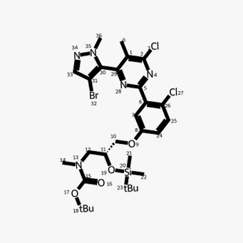 Cc1c(Cl)nc(-c2cc(OC[C@@H](CN(C)C(=O)OC(C)(C)C)O[Si](C)(C)C(C)(C)C)ccc2Cl)nc1-c1c(Br)cnn1C